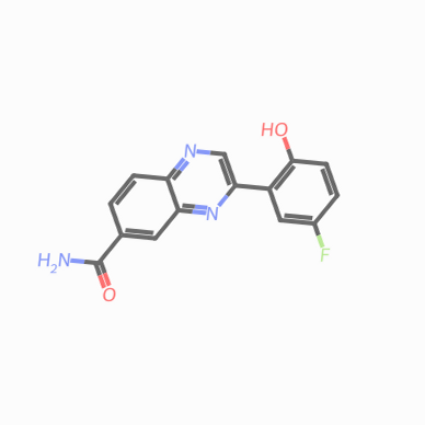 NC(=O)c1ccc2ncc(-c3cc(F)ccc3O)nc2c1